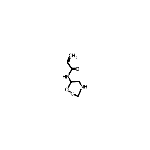 C=CC(=O)NC1CNCCO1